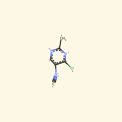 [C-]#[N+]c1cnc(C)nc1Cl